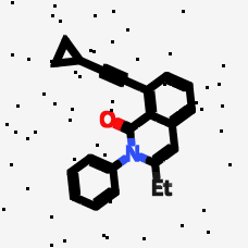 CCc1cc2cccc(C#CC3CC3)c2c(=O)n1-c1ccccc1